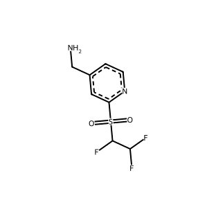 NCc1ccnc(S(=O)(=O)C(F)C(F)F)c1